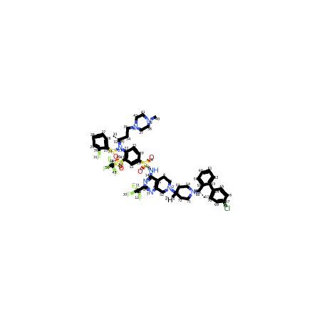 [2H]C1(N2CCc3c(nc(C(F)(F)F)nc3NS(=O)(=O)c3ccc(N(Sc4ccccc4F)[C@H](C)CCN4CCN(C)CC4)c(S(=O)(=O)C(F)(F)F)c3)C2)CCN([C@@H](C)c2ccccc2-c2ccc(Cl)cc2)CC1